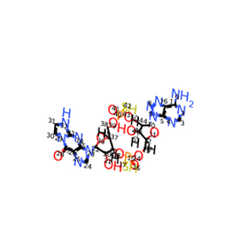 Nc1ncnc2c1nnn2[C@@H]1O[C@@H]2COP(=O)(S)O[C@H]3[C@@H](O)[C@H](n4cnc5c(=O)n6cc[nH]c6nc54)O[C@@H]3COP(=O)(S)O[C@@H]1[C@@H]2O